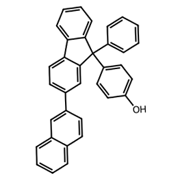 Oc1ccc(C2(c3ccccc3)c3ccccc3-c3ccc(-c4ccc5ccccc5c4)cc32)cc1